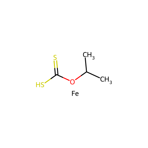 CC(C)OC(=S)S.[Fe]